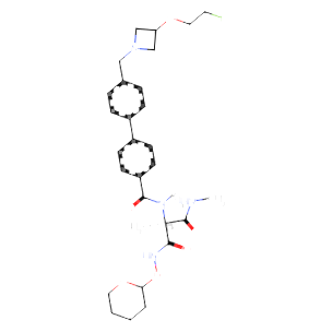 CNC(=O)[C@@](C)(C(=O)NOC1CCCCO1)N(C)C(=O)c1ccc(-c2ccc(CN3CC(OCCF)C3)cc2)cc1